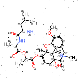 COc1ccc2c3c1O[C@H]1C(OC(=O)C(C)OC(=O)[C@H](C)NC(=O)[C@@H](N)CC(C)C)=CC[C@@]4(O)[C@@H](C2)N(C)CC[C@]314